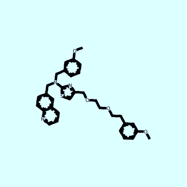 COc1cccc(CCOCCOCc2csc(N(Cc3cccc(OC)c3)Cc3ccc4ncccc4c3)n2)c1